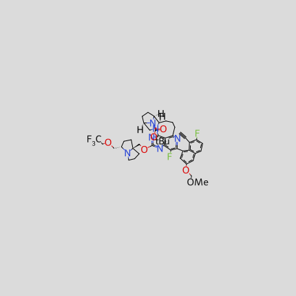 C#Cc1c(F)ccc2cc(OCOC)cc(-c3nc4c5c(nc(OC[C@@]67CCCN6[C@H](COCC(F)(F)F)CC7)nc5c3F)N3C[C@H]5CC[C@@H]([C@H]3CCC4)N5C(=O)OC(C)(C)C)c12